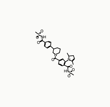 CC1=CCC(C)N1c1cc(C(=O)N2CCCC(c3ccc(C(=O)NS(C)(=O)=O)cc3)C2)ccc1C(=O)NS(C)(=O)=O